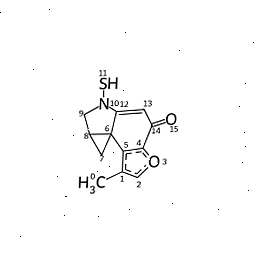 Cc1coc2c1C13CC1CN(S)C3=CC2=O